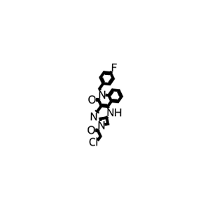 N#Cc1c(NC2CN(C(=O)CCl)C2)c2ccccc2n(Cc2ccc(F)cc2)c1=O